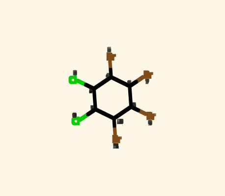 ClC1C(Cl)C(Br)C(Br)C(Br)C1Br